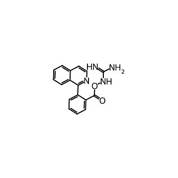 N=C(N)NOC(=O)c1ccccc1-c1nccc2ccccc12